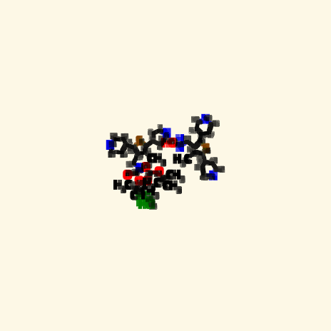 Cc1c(-c2ccncc2)sc(-c2ccncc2)c1CN(OC(=O)OC(C)(C)C)C(=O)OC(C)(C)C.Cc1c(-c2ccncc2)sc(-c2ccncc2)c1CNO.Cl.Cl.Cl